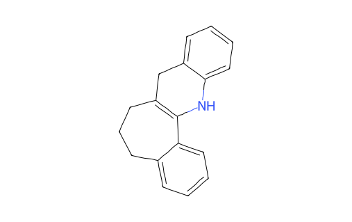 c1ccc2c(c1)CC1=C(N2)c2ccccc2CCC1